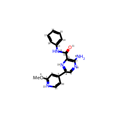 COc1cc(-c2cnc(N)c(C(=O)Nc3ccccc3)n2)ccn1